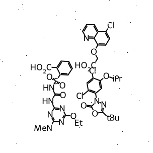 CC(C)Oc1cc(-n2nc(C(C)(C)C)oc2=O)c(Cl)cc1Cl.CCOc1nc(NC)nc(NC(=O)NS(=O)(=O)c2ccccc2C(=O)O)n1.O=C(O)COc1ccc(Cl)c2cccnc12